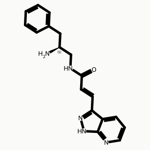 N[C@H](CNC(=O)C=Cc1n[nH]c2ncccc12)Cc1ccccc1